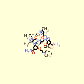 CCn1nc(C)cc1C(=O)Nc1nc2cc(C(N)=O)cc(OC)c2n1C/C=C/Cn1c(NC(=O)c2cc(C)nn2CC)nc2cc(C(N)=O)cc(OCCCN(C)C)c21